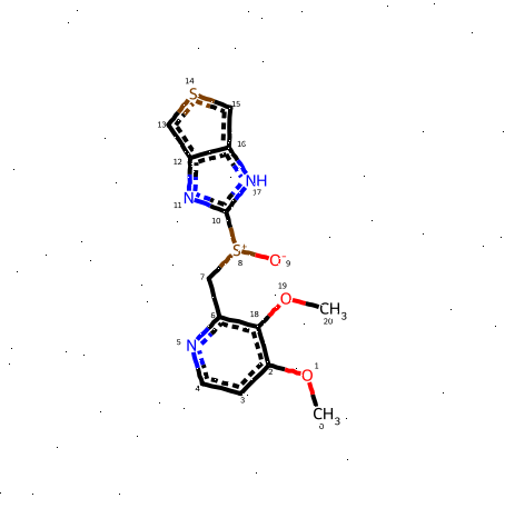 COc1ccnc(C[S+]([O-])c2nc3cscc3[nH]2)c1OC